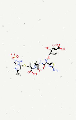 CC1=NC2=CN(S(=O)(=O)O)NN2C(SCC2=C(C(=O)O)N3C(=O)[C@@H](NC(=O)C(=NOCc4ccc(C(=O)O)c(O)c4O)c4csc(N)n4)[C@H]3SC2)=C1